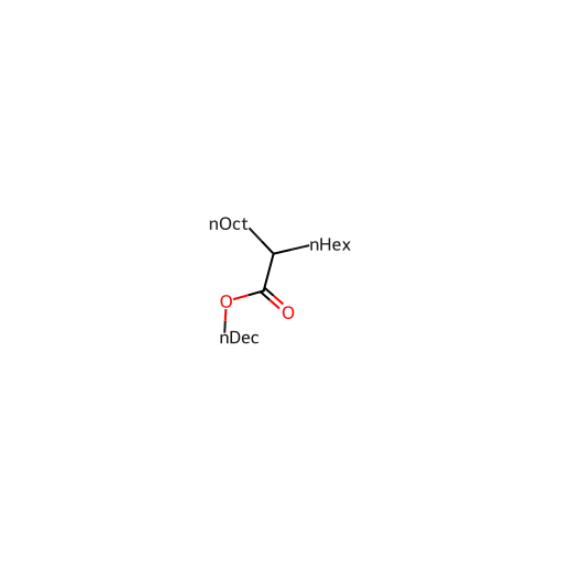 CCCCCCCCCCOC(=O)C(CCCCCC)CCCCCCCC